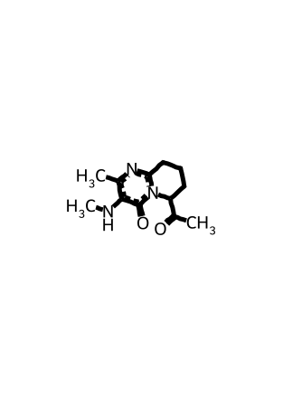 CNc1c(C)nc2n(c1=O)C(C(C)=O)CCC2